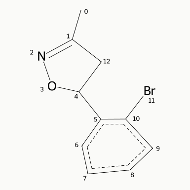 CC1=NOC(c2ccccc2Br)C1